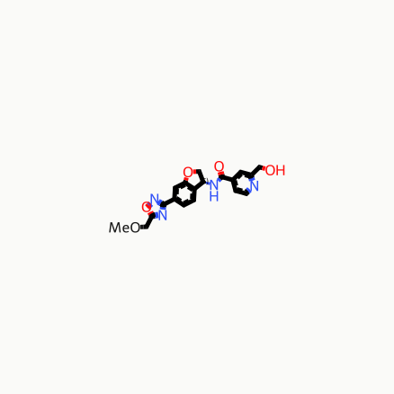 COCc1nc(-c2ccc3c(c2)OC[C@H]3NC(=O)c2ccnc(CO)c2)no1